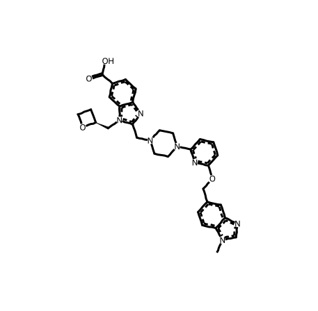 Cn1cnc2cc(COc3cccc(N4CCN(Cc5nc6ccc(C(=O)O)cc6n5C[C@@H]5CCO5)CC4)n3)ccc21